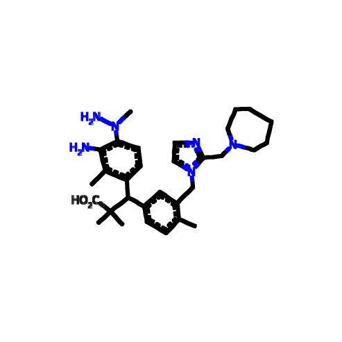 Cc1ccc(C(c2ccc(N(C)N)c(N)c2C)C(C)(C)C(=O)O)cc1Cn1ccnc1CN1CCCCCC1